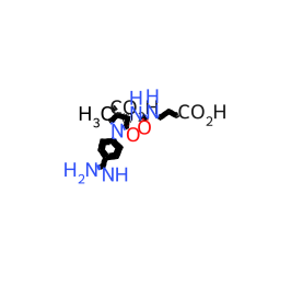 CC(=O)O.N=C(N)c1ccc(N2CC[C@H](NC(=O)NCCCC(=O)O)C2=O)cc1